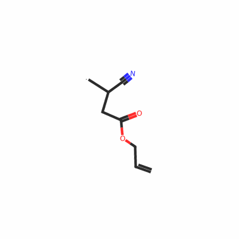 [CH2]C(C#N)CC(=O)OCC=C